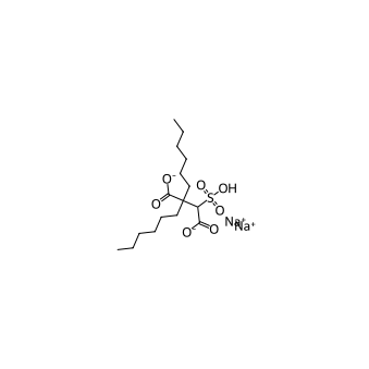 CCCCCCC(CCCCCC)(C(=O)[O-])C(C(=O)[O-])S(=O)(=O)O.[Na+].[Na+]